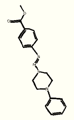 COC(=O)c1ccc(N=NN2CCN(c3ccccc3)CC2)cc1